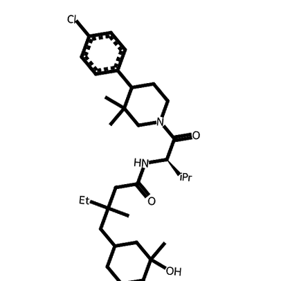 CCC(C)(CC(=O)N[C@@H](C(=O)N1CCC(c2ccc(Cl)cc2)C(C)(C)C1)C(C)C)CC1CCCC(C)(O)C1